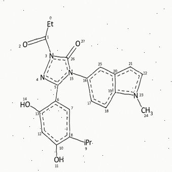 CCC(=O)n1nc(-c2cc(C(C)C)c(O)cc2O)n(-c2ccc3c(ccn3C)c2)c1=O